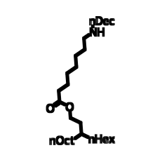 CCCCCCCCCCNCCCCCCCC(=O)OCCC(CCCCCC)CCCCCCCC